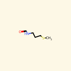 CSCC[CH]NC=O